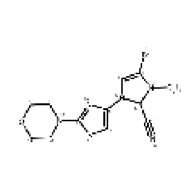 CN1C(Br)=CN(c2csc(N3CCOCC3)n2)C1C#N